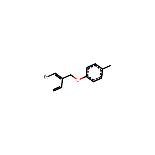 C=C/C(=C\CC)COc1ccc(C)cc1